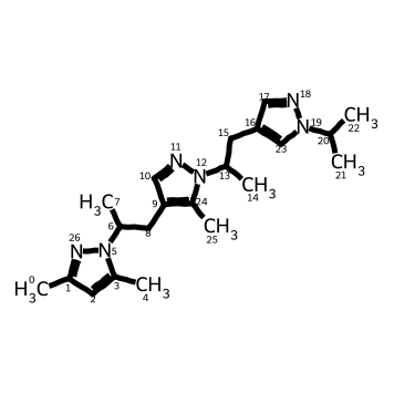 Cc1cc(C)n(C(C)Cc2cnn(C(C)Cc3cnn(C(C)C)c3)c2C)n1